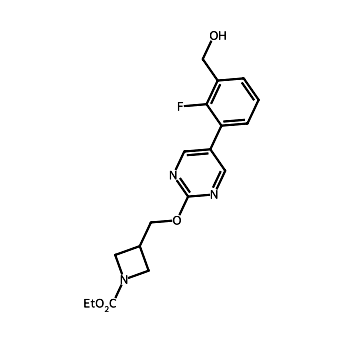 CCOC(=O)N1CC(COc2ncc(-c3cccc(CO)c3F)cn2)C1